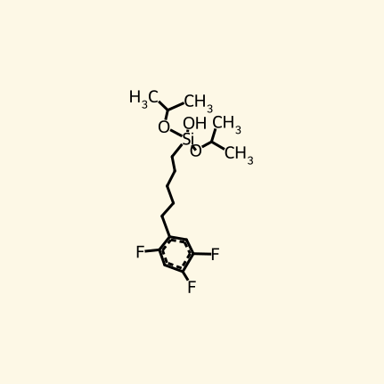 CC(C)O[Si](O)(CCCCCc1cc(F)c(F)cc1F)OC(C)C